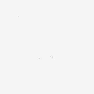 CCCCNc1cc(C(=O)SCOC=O)cc(S)c1Oc1ccccc1